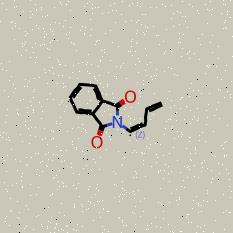 C=C/C=[C]\N1C(=O)c2ccccc2C1=O